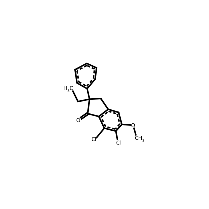 CCC1(c2ccccc2)Cc2cc(OC)c(Cl)c(Cl)c2C1=O